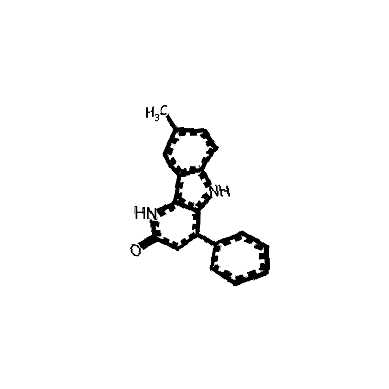 Cc1ccc2[nH]c3c(-c4ccccc4)cc(=O)[nH]c3c2c1